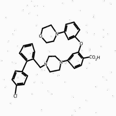 O=C(O)c1ccc(N2CCN(Cc3ccccc3-c3ccc(Cl)cc3)CC2)cc1Oc1cccc(N2CCOCC2)c1